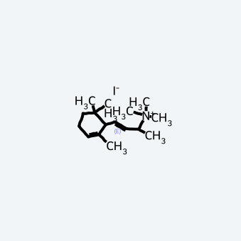 CC1=CCCC(C)(C)C1/C=C/C(C)[N+](C)(C)C.[I-]